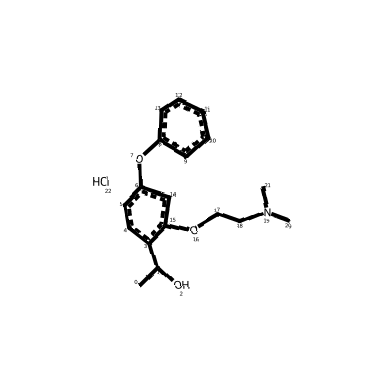 CC(O)c1ccc(Oc2ccccc2)cc1OCCN(C)C.Cl